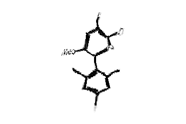 COc1cc(F)c(Cl)nc1-c1c(C)cc(F)cc1C